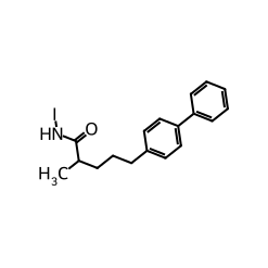 CC(CCCc1ccc(-c2ccccc2)cc1)C(=O)NI